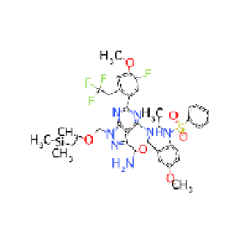 CCN(c1ccc(OC)cc1CNc1nc(-c2cc(F)c(OC)cc2CC(F)(F)F)nc2c1c(C(N)=O)nn2COCC[Si](C)(C)C)S(=O)(=O)c1ccccc1